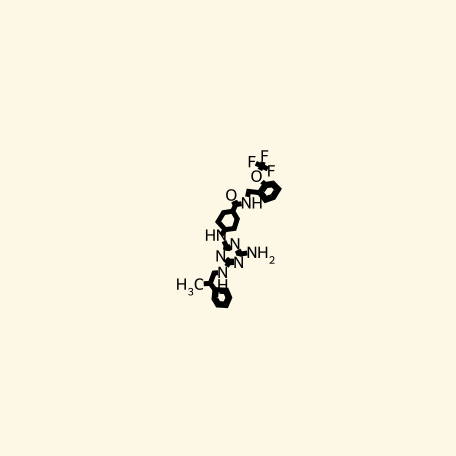 CC(CNc1nc(N)nc(NC2CCC(C(=O)NCc3ccccc3OC(F)(F)F)CC2)n1)c1ccccc1